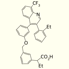 CCc1ccccc1-c1cnc2c(C(F)(F)F)cccc2c1-c1cccc(OCc2cccc(C(CC)C(=O)O)c2)c1